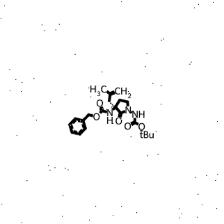 C=C(C)C[C@]1(NC(=O)OCc2ccccc2)CCN(NC(=O)OC(C)(C)C)C1=O